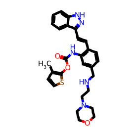 Cc1ccsc1OC(=O)Nc1cc(CNCCN2CCOCC2)ccc1/C=C/c1n[nH]c2ccccc12